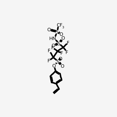 C=Cc1ccc(OS(=O)(=O)C(F)(F)C(F)(F)C(F)(F)S(=O)(=O)NS(=O)(=O)C(F)(F)F)cc1